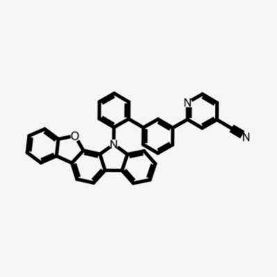 N#Cc1ccnc(-c2cccc(-c3ccccc3-n3c4ccccc4c4ccc5c6ccccc6oc5c43)c2)c1